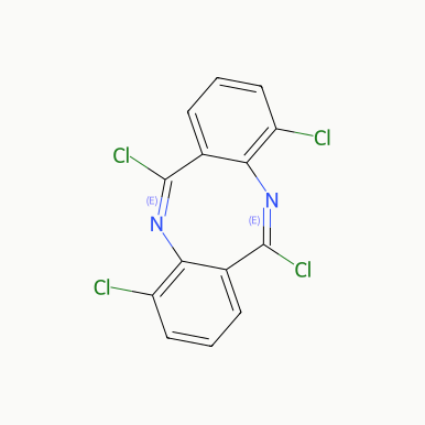 Cl/C1=N/c2c(Cl)cccc2/C(Cl)=N\c2c(Cl)cccc21